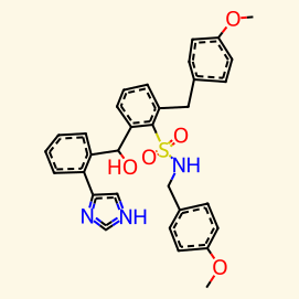 COc1ccc(CNS(=O)(=O)c2c(Cc3ccc(OC)cc3)cccc2C(O)c2ccccc2-c2c[nH]cn2)cc1